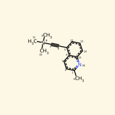 Cc1ccc2c(C#C[Si](C)(C)C)cccc2n1